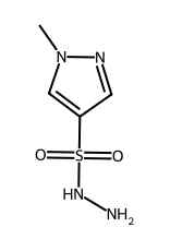 Cn1cc(S(=O)(=O)NN)cn1